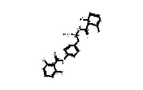 CCc1cccc(C)c1C(=O)N[C@@H](Cc1ccc(NC(=O)c2c(Cl)cccc2Cl)cc1)C(=O)O